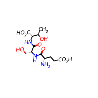 C[C@@H](O)[C@H](NC(=O)[C@@H](CO)NC(=O)[C@@H](N)CCC(=O)O)C(=O)O